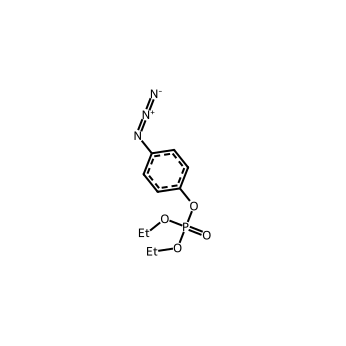 CCOP(=O)(OCC)Oc1ccc(N=[N+]=[N-])cc1